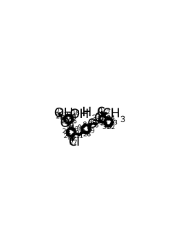 CC1(C)O[C@H](COc2ccc(Cc3cc([C@H]4C[C@@H](O)C[C@@H](CO)O4)ccc3Cl)cc2)c2ccccc21